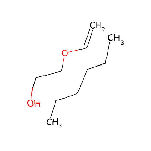 C=COCCO.CCCCCC